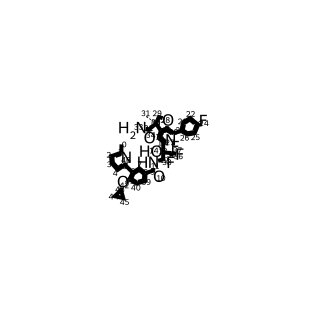 Cc1cccc(-c2cc(C(=O)NCC(O)(c3cc4c(c(-c5ccc(F)cc5)n3)OC[C@]4(C)C(N)=O)C(F)(F)F)ccc2OC2CC2)n1